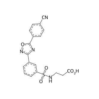 N#Cc1ccc(-c2nc(-c3cccc(S(=O)(=O)NCCC(=O)O)c3)no2)cc1